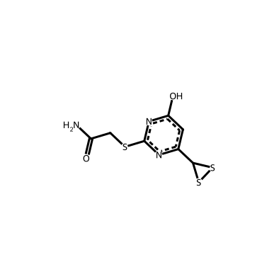 NC(=O)CSc1nc(O)cc(C2SS2)n1